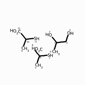 CC(O)CO.CC(S)C(=O)O.CC(S)C(=O)O